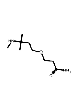 CNC(C)(C)CCOCCC(N)=O